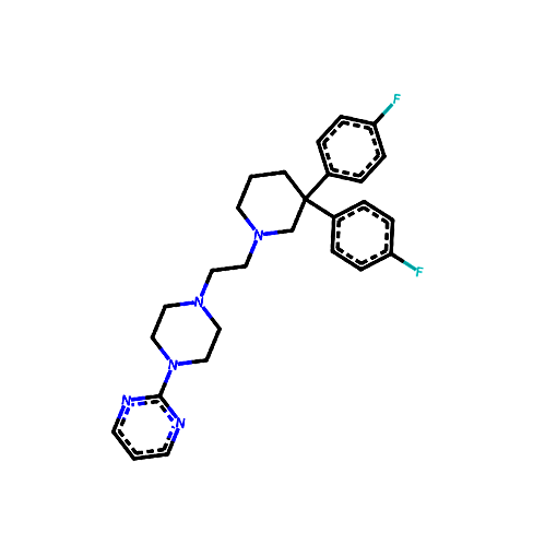 Fc1ccc(C2(c3ccc(F)cc3)CCCN(CCN3CCN(c4ncccn4)CC3)C2)cc1